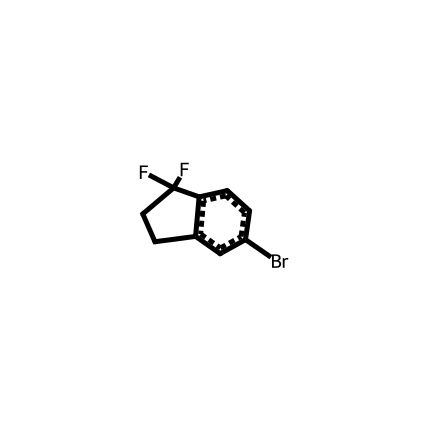 FC1(F)CCc2cc(Br)ccc21